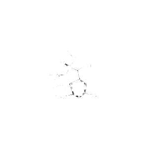 CCOP(=O)(ON)C(O)c1cc(C(C)(C)C)cc(C(C)(C)C)c1.[CaH2]